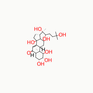 CC(C)(O)CCC(O)[C@](C)(O)[C@H]1CC[C@@]2(O)C3=CC(=O)[C@@H]4C[C@@H](O)[C@@H](O)[C@H](O)[C@]4(C)[C@H]3CC[C@]12C